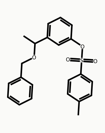 Cc1ccc(S(=O)(=O)Oc2cccc(C(C)OCc3ccccc3)c2)cc1